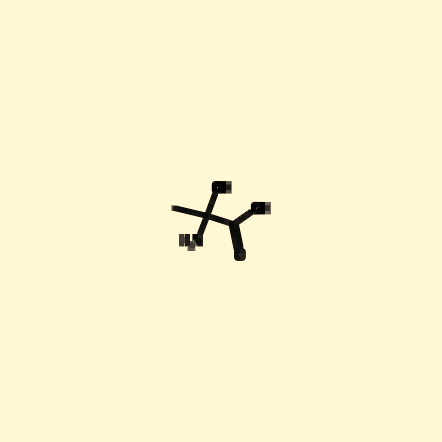 CC(N)(O)C(=O)O